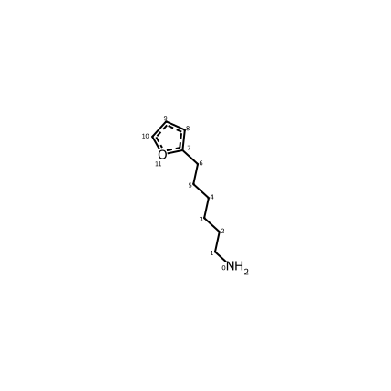 NCCCCCCc1ccco1